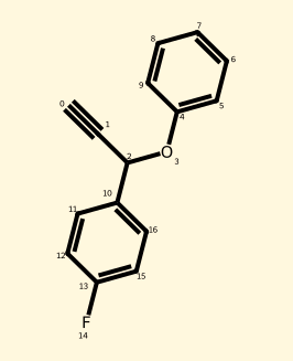 C#CC(Oc1cc[c]cc1)c1ccc(F)cc1